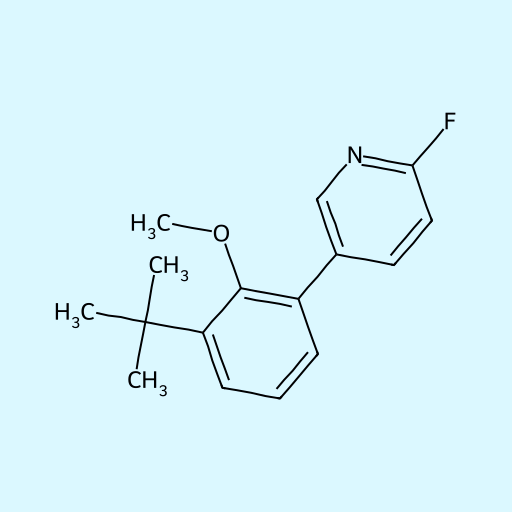 COc1c(-c2ccc(F)nc2)cccc1C(C)(C)C